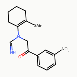 CSC1=C(N(C=N)CC(=O)c2cccc([N+](=O)[O-])c2)CCCC1